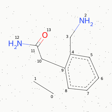 CC.NCc1ccccc1CC(N)=O